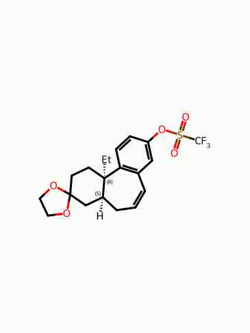 CC[C@@]12CCC3(C[C@@H]1CC=Cc1cc(OS(=O)(=O)C(F)(F)F)ccc12)OCCO3